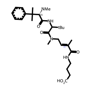 CN[C@H](C(=O)NC(C(=O)N(C)C/C=C(\C)C(=O)NCCCC(=O)O)C(C)(C)C)C(C)(C)c1ccccc1